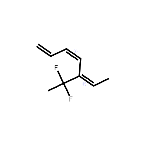 C=C/C=C\C(=C/C)C(C)(F)F